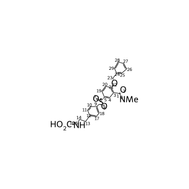 CNC(=O)c1cc(S(=O)(=O)c2ccc(CCNC(=O)O)cc2)ccc1OCc1ccccc1